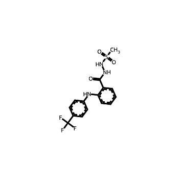 CS(=O)(=O)NNC(=O)c1ccccc1Nc1ccc(C(F)(F)F)cc1